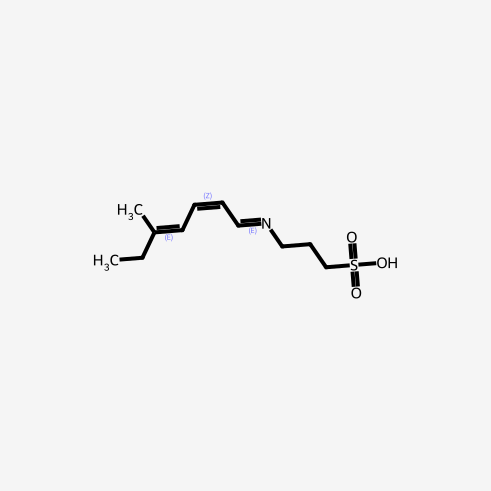 CC/C(C)=C/C=C\C=N\CCCS(=O)(=O)O